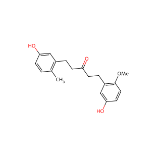 COc1ccc(O)cc1CCC(=O)CCc1cc(O)ccc1C